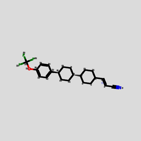 N#C/C=C/C1CCC([C@H]2CC[C@H](c3ccc(OC(F)(F)F)cc3)CC2)CC1